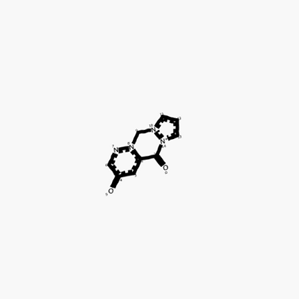 O=C1c2cc(=O)cnn2Cn2ccc[n+]21